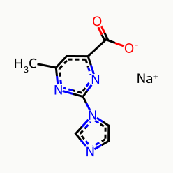 Cc1cc(C(=O)[O-])nc(-n2ccnc2)n1.[Na+]